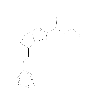 CCOC(=O)c1cc2c([nH]1)C(CCc1ccccc1)CC2